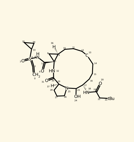 C=C=S(=O)(NC(=O)[C@@]12C[C@H]1CCCCCCC[C@H](NC(=O)CC(C)(C)C)C(O)N1CCC[C@H]1C(=O)N2)C1CC1